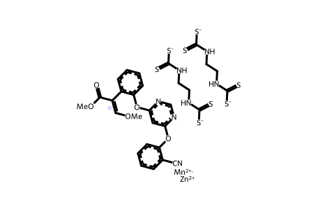 CO/C=C(/C(=O)OC)c1ccccc1Oc1cc(Oc2ccccc2C#N)ncn1.S=C([S-])NCCNC(=S)[S-].S=C([S-])NCCNC(=S)[S-].[Mn+2].[Zn+2]